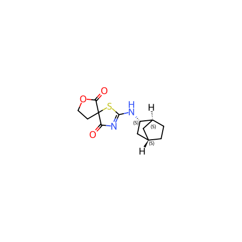 O=C1N=C(N[C@H]2C[C@H]3CC[C@H]2C3)SC12CCOC2=O